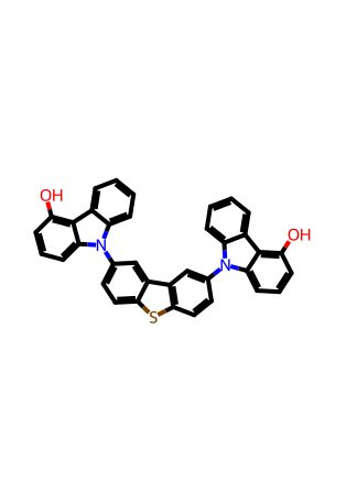 Oc1cccc2c1c1ccccc1n2-c1ccc2sc3ccc(-n4c5ccccc5c5c(O)cccc54)cc3c2c1